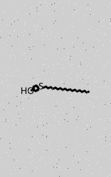 CCCCCCCCCCCCCCCCCCCCSc1ccc(O)cc1